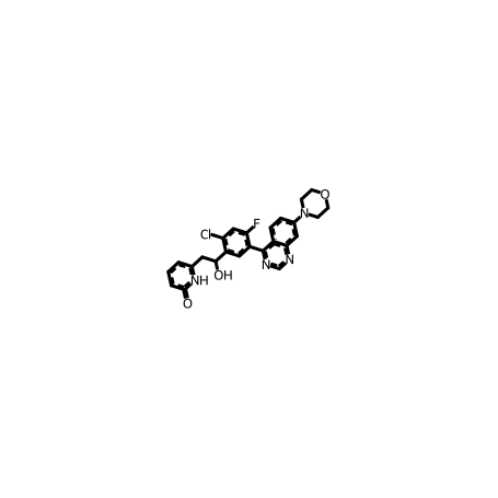 O=c1cccc(CC(O)c2cc(-c3ncnc4cc(N5CCOCC5)ccc34)c(F)cc2Cl)[nH]1